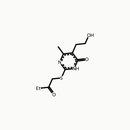 CCC(=O)CSc1nc(C)c(CCO)c(=O)[nH]1